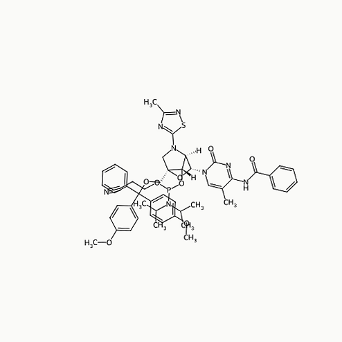 COc1ccc(C(OC[C@@]23CN(c4nc(C)ns4)[C@@H]([C@H](n4cc(C)c(NC(=O)c5ccccc5)nc4=O)O2)[C@@H]3OP(OCCC#N)N(C(C)C)C(C)C)(c2ccccc2)c2ccc(OC)cc2)cc1